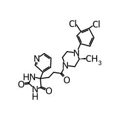 C[C@H]1CN(C(=O)CCC2(c3cccnc3)NC(=O)NC2=O)CCN1c1ccc(Cl)c(Cl)c1